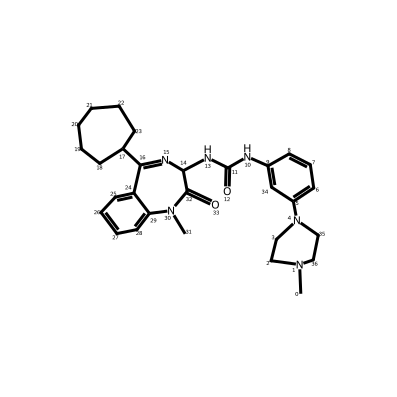 CN1CCN(c2cccc(NC(=O)NC3N=C(C4CCCCCC4)c4ccccc4N(C)C3=O)c2)CC1